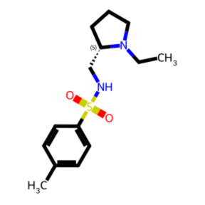 CCN1CCC[C@H]1CNS(=O)(=O)c1ccc(C)cc1